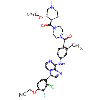 Cc1cc(Nc2nccn3c(-c4ccc(OCC#N)c(F)c4Cl)cnc23)ccc1C(=O)N1CCN(C(=O)[C@@H]2CCNC[C@H]2OC=O)CC1